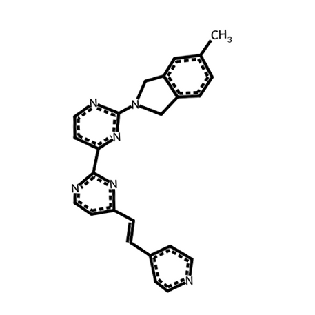 Cc1ccc2c(c1)CN(c1nccc(-c3nccc(/C=C/c4ccncc4)n3)n1)C2